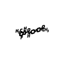 CC(=O)N1CCN(C2CCC(NC(=O)c3cc4c(F)ccc(C)c4[nH]3)CC2)CC1